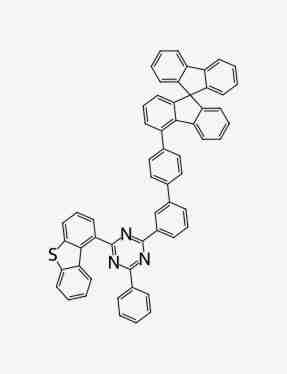 c1ccc(-c2nc(-c3cccc(-c4ccc(-c5cccc6c5-c5ccccc5C65c6ccccc6-c6ccccc65)cc4)c3)nc(-c3cccc4sc5ccccc5c34)n2)cc1